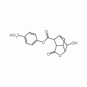 O=C(Oc1ccc(S(=O)(=O)O)cc1)C1C2CC3C(OC(=O)C31)C2O